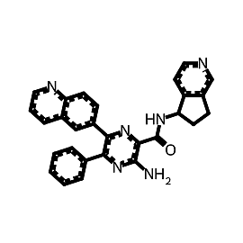 Nc1nc(-c2ccccc2)c(-c2ccc3ncccc3c2)nc1C(=O)NC1CCc2cnccc21